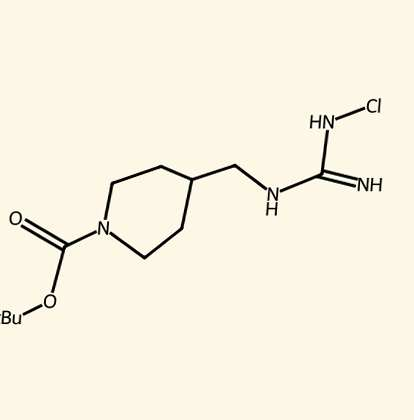 CC(C)(C)OC(=O)N1CCC(CNC(=N)NCl)CC1